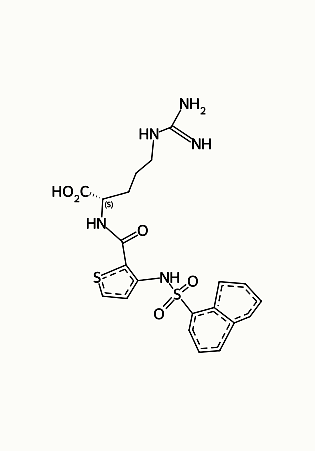 N=C(N)NCCC[C@H](NC(=O)c1sccc1NS(=O)(=O)c1cccc2ccccc12)C(=O)O